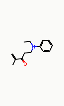 C=C(C)C(=O)CCN(CC)c1ccccc1